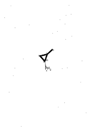 CC1C[C@H]1P